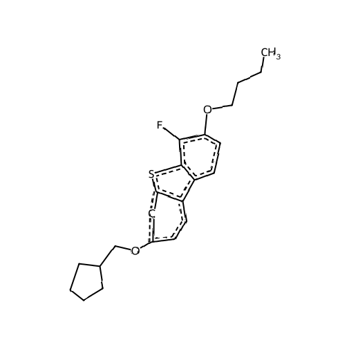 CCCCOc1ccc2c(sc3cc(OCC4CCCC4)ccc32)c1F